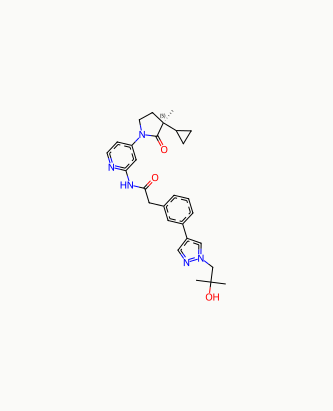 CC(C)(O)Cn1cc(-c2cccc(CC(=O)Nc3cc(N4CC[C@@](C)(C5CC5)C4=O)ccn3)c2)cn1